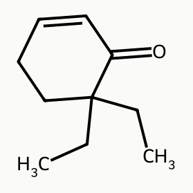 CCC1(CC)CCC=CC1=O